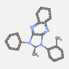 Cc1ccccc1N1c2nc3ccccc3nc2N(c2ccccc2)[C@@H]1C